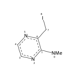 CNc1nccnc1CI